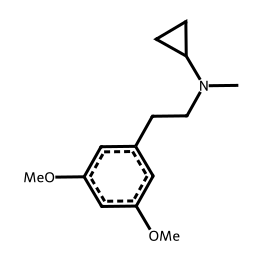 COc1cc(CCN(C)C2CC2)cc(OC)c1